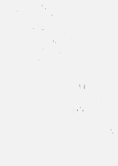 Cc1cc(S(=O)(=O)C(C)(C)C2CCN(C(=O)Nc3ccc(F)nc3)CC2)n(C)n1